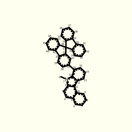 Cn1c2ccc3ccccc3c2c2cccc(-c3ccc4c(c3)C3(c5ccccc5-c5ccccc53)c3ccccc3-4)c21